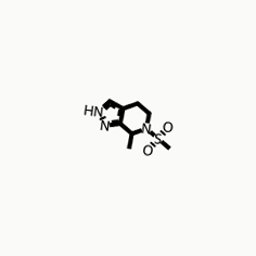 CC1c2n[nH]cc2CCN1S(C)(=O)=O